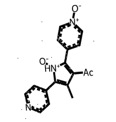 CC(=O)C1=C(c2cc[n+]([O-])cc2)[NH+]([O-])C(c2ccncc2)=C1C